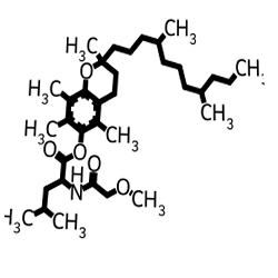 CCCC(C)CCCC(C)CCCC1(C)CCc2c(C)c(OC(=O)C(CC(C)C)NC(=O)COC)c(C)c(C)c2O1